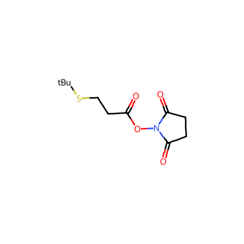 CC(C)(C)SCCC(=O)ON1C(=O)CCC1=O